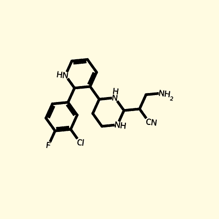 N#CC(CN)C1NCCC(C2=CC=CNC2c2ccc(F)c(Cl)c2)N1